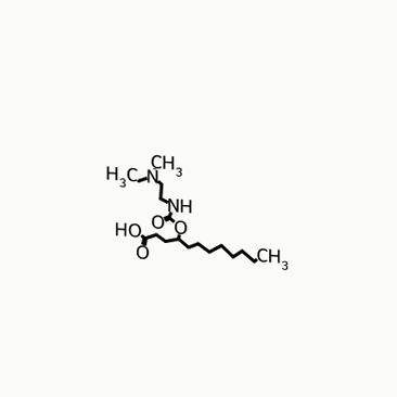 CCCCCCCCC(CCC(=O)O)OC(=O)NCCN(C)CC